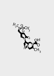 C[C@H]1Cn2ncc(N3CC(CN(C)S(C)(=O)=O)CC3=O)c2CN1C(=O)O